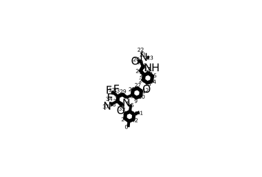 Cc1ccc(Cn2c(-c3ccc(Oc4ccc5[nH]c(C(=O)N(C)C)cc5c4)cc3)cc(C(F)(F)F)c(C#N)c2=O)c(C)c1